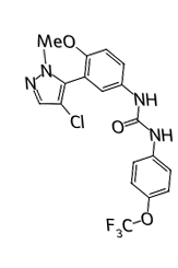 COc1ccc(NC(=O)Nc2ccc(OC(F)(F)F)cc2)cc1-c1c(Cl)cnn1C